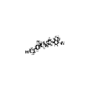 C[C@@H]1CN(c2ccc(C#N)c3ncccc23)C[C@H](CN2CCC(C#N)(c3ccc(N4CCNCC4)cc3)CC2)O1